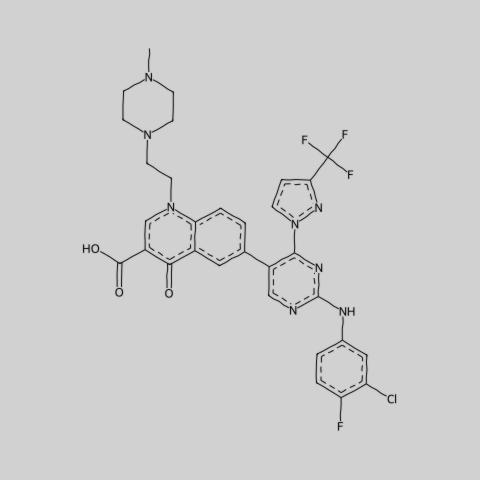 CN1CCN(CCn2cc(C(=O)O)c(=O)c3cc(-c4cnc(Nc5ccc(F)c(Cl)c5)nc4-n4ccc(C(F)(F)F)n4)ccc32)CC1